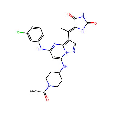 COC(=O)N1CCC(Nc2cc(Nc3cccc(Cl)c3)nc3c(/C(C)=C4\NC(=O)NC4=O)cnn23)CC1